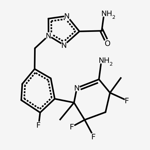 CC1(F)CC(F)(F)C(C)(c2cc(Cn3cnc(C(N)=O)n3)ccc2F)N=C1N